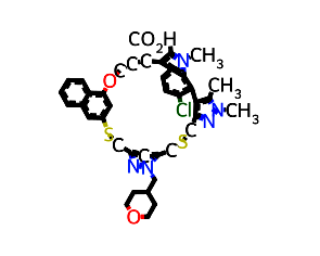 Cc1c2c(nn1C)CSCc1cc(nn1CC1CCOCC1)CSc1cc(c3ccccc3c1)OCCCc1c(C(=O)O)n(C)c3c-2c(Cl)ccc13